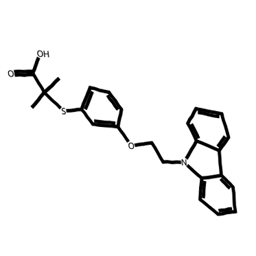 CC(C)(Sc1cccc(OCCn2c3ccccc3c3ccccc32)c1)C(=O)O